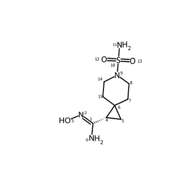 NC(=NO)[C@H]1CC12CCN(S(N)(=O)=O)CC2